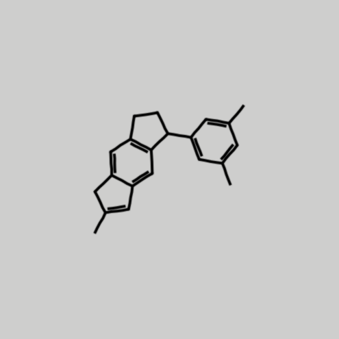 CC1=Cc2cc3c(cc2C1)CCC3c1cc(C)cc(C)c1